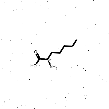 [CH2]CCCC[C@@H](N)C(=O)O